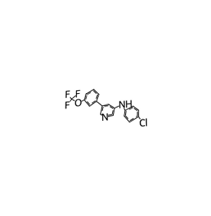 FC(F)(F)Oc1cccc(-c2cncc(Nc3ccc(Cl)cc3)c2)c1